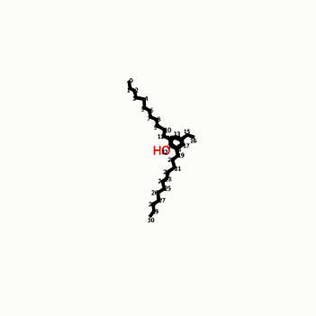 CCCCCCCCCCCCc1cc(CC)cc(CCCCCCCCCCCC)c1O